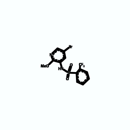 COc1ncc(Br)cc1NS(=O)(=O)c1ccccc1C(F)(F)F